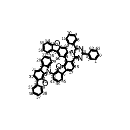 c1ccc(-c2nc(-c3ccccc3)nc(-c3ccc4c(oc5c(-n6c7ccccc7c7ccc8c9ccccc9oc8c76)cccc54)c3-c3ccc4oc5ccccc5c4c3)n2)cc1